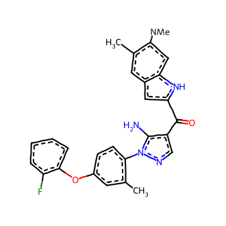 CNc1cc2[nH]c(C(=O)c3cnn(-c4ccc(Oc5ccccc5F)cc4C)c3N)cc2cc1C